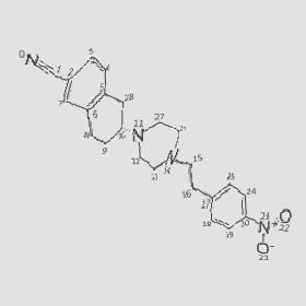 N#Cc1ccc2c(c1)CC[C@@H](N1CCN(CCc3ccc([N+](=O)[O-])cc3)CC1)C2